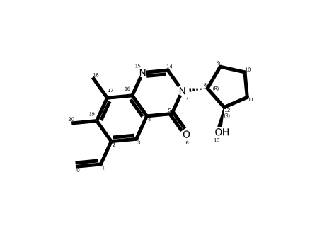 C=Cc1cc2c(=O)n([C@@H]3CCC[C@H]3O)cnc2c(C)c1C